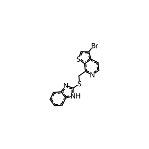 Brc1csc2c(CSc3nc4ccccc4[nH]3)nccc12